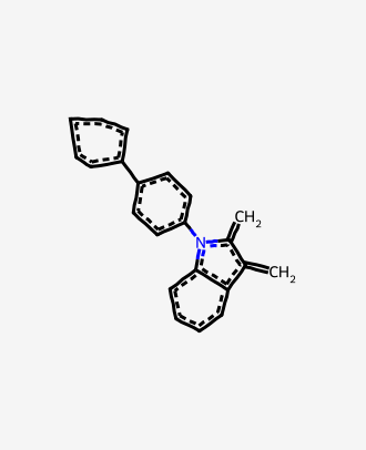 C=c1c(=C)n(-c2ccc(-c3ccccc3)cc2)c2ccccc12